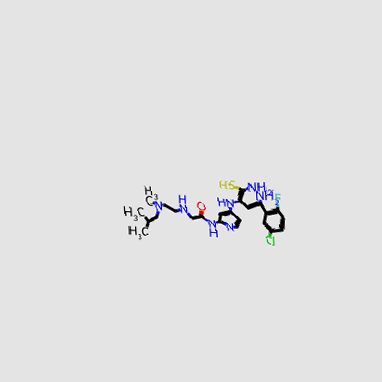 CC(C)CN(C)CCNCC(=O)Nc1cc(NC(/C=C(\N)c2cc(Cl)ccc2F)=C(/N)S)ccn1